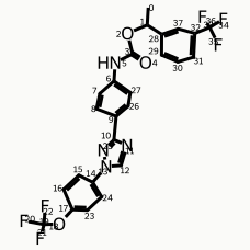 CC(OC(=O)Nc1ccc(-c2ncn(-c3ccc(OC(F)(F)F)cc3)n2)cc1)c1cccc(C(F)(F)F)c1